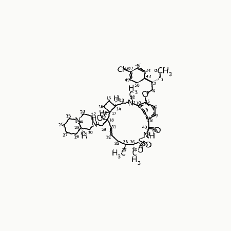 CC[C@H](COc1ccc2cc1N(C)C[C@@H]1CC[C@H]1[C@@](O)(CN1CCN3CCCC[C@@H]3C1)/C=C/C[C@H](C)[C@@H](C)S(=O)(=O)NC2=O)C1C=CC(Cl)=CC1